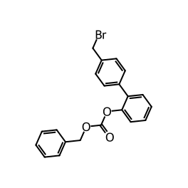 O=C(OCc1ccccc1)Oc1ccccc1-c1ccc(CBr)cc1